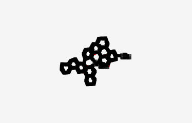 CC(C)(C)c1cc(-c2cccc3cccc(-c4ccccc4N(c4ccc5ccccc5c4)c4ccccc4-c4cccc5c4ccc4ccccc45)c23)cc(C(C)(C)C)c1